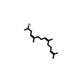 CC(=O)C(C)CC=C(C)CCC=C(C)CCC=C(C)C